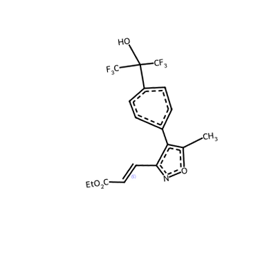 CCOC(=O)/C=C/c1noc(C)c1-c1ccc(C(O)(C(F)(F)F)C(F)(F)F)cc1